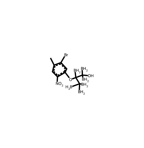 BC(B)(B)C(B)(Oc1cc(Br)c(C)cc1[N+](=O)[O-])C(B)(B)O